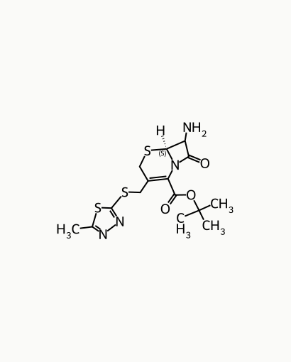 Cc1nnc(SCC2=C(C(=O)OC(C)(C)C)N3C(=O)C(N)[C@@H]3SC2)s1